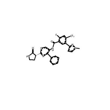 Cn1ccc(-c2cc(C(=O)Nc3cnc([C@@H]4CCNC4=O)nc3-c3ccccc3)c(F)cc2C(F)(F)F)n1